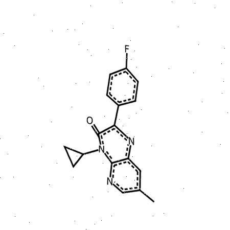 Cc1cnc2c(c1)nc(-c1ccc(F)cc1)c(=O)n2C1CC1